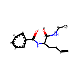 C=CCCC(NC(=O)c1ccccc1)C(=O)NCC#N